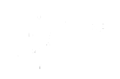 CCOC(=O)C=CC(=O)O[Si](C(C)C)(C(C)C)C(C)C